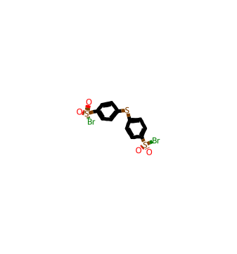 O=S(=O)(Br)c1ccc(Sc2ccc(S(=O)(=O)Br)cc2)cc1